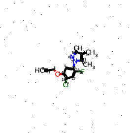 C#CCOc1cc(-n2nc(C)c(C)c2C)c(F)cc1Cl